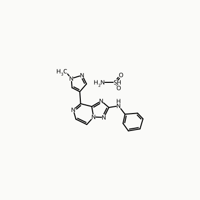 Cn1cc(-c2nccn3nc(Nc4ccccc4)nc23)cn1.N[SH](=O)=O